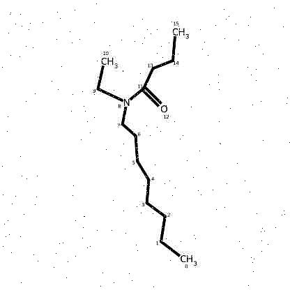 CCCCCCCCN(CC)C(=O)CCC